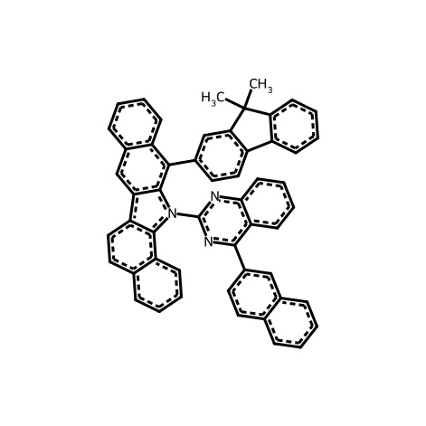 CC1(C)c2ccccc2-c2ccc(-c3c4ccccc4cc4c5ccc6ccccc6c5n(-c5nc(-c6ccc7ccccc7c6)c6ccccc6n5)c34)cc21